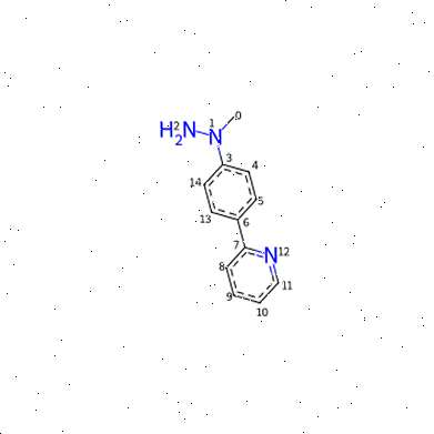 CN(N)c1ccc(-c2ccccn2)cc1